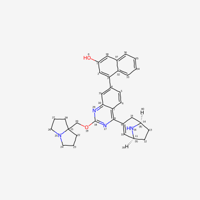 Oc1cc(-c2ccc3c(C4=C[C@@H]5CC[C@H](C4)N5)nc(OCC45CCCN4CCC5)nc3c2)c2ccccc2c1